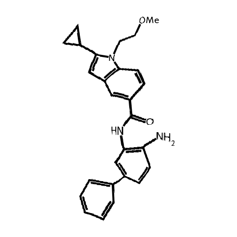 COCCn1c(C2CC2)cc2cc(C(=O)Nc3cc(-c4ccccc4)ccc3N)ccc21